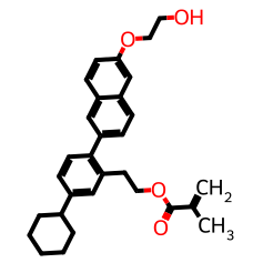 C=C(C)C(=O)OCCc1cc(C2CCCCC2)ccc1-c1ccc2cc(OCCO)ccc2c1